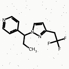 CCC(c1ccncc1)n1ccc(CC(F)(F)F)n1